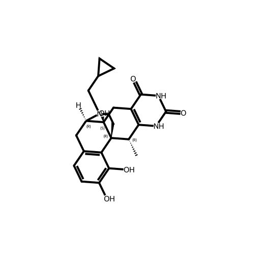 C[C@H]1c2[nH]c(=O)[nH]c(=O)c2C[C@@]2(O)[C@H]3Cc4ccc(O)c(O)c4[C@@]12CCN3CC1CC1